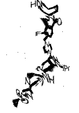 CC(C)n1nc(N2CCN(Cc3ccc4c(c3F)CN(C3CCCNC3)C4=O)CC2)c2cnc(Nc3ccnc(-c4cnn(S(=O)(=O)C5CC5)c4)n3)cc21